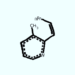 CCC/C=C\c1ncccc1C